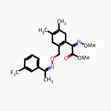 CON=C(C(=O)OC)C1=C(CON=C(C)c2cccc(C(F)(F)F)c2)CC(C)=C(C)C1